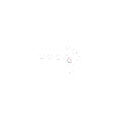 c1ccc(-c2ccc(-c3ccc(-c4nc(-c5ccc6c(c5)oc5ccccc56)nc(-n5c6ccccc6c6ccc7c8ccccc8n(-c8ccccc8)c7c65)n4)cc3)cc2)cc1